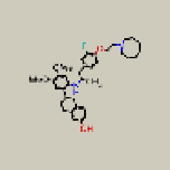 COc1cc(NC(C)Cc2ccc(OCCN3CCCCCCC3)c(F)c2)c(C2CCc3cc(O)ccc3C2)cc1OC